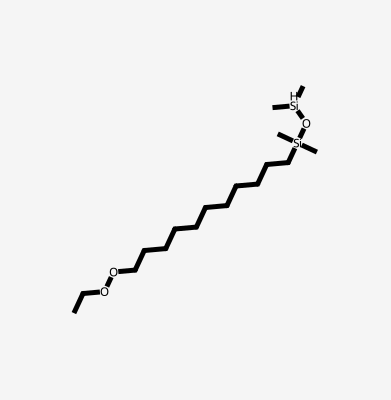 CCOOCCCCCCCCCCC[Si](C)(C)O[SiH](C)C